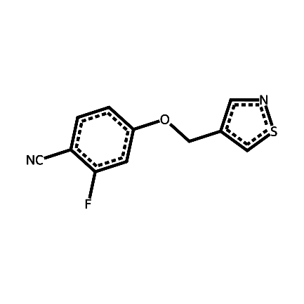 N#Cc1ccc(OCc2cnsc2)cc1F